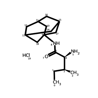 CC[C@H](C)[C@H](N)C(=O)NC12CC3CC(CC(C3)C1)C2.Cl